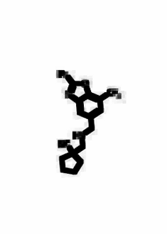 CC(C)c1nc2cc(CNCC3(C#N)CCCC3)cc(C(F)(F)F)c2o1